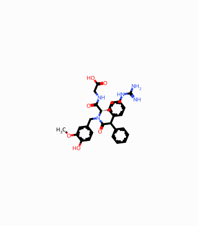 COc1cc(CN(C(=O)C(c2ccccc2)c2ccccc2)[C@@H](CCCNC(=N)N)C(=O)NCC(=O)O)ccc1O